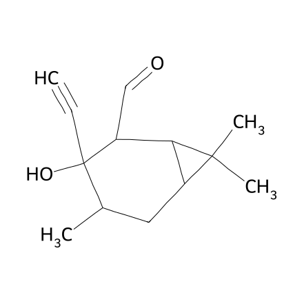 C#CC1(O)C(C)CC2C(C1C=O)C2(C)C